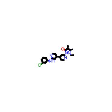 CCn1c(C)c(C)c(=O)n1-c1cc(-c2ccnc(Nc3cccc(Cl)c3)c2)ccn1